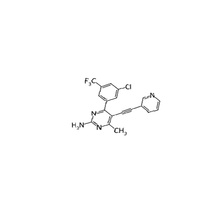 Cc1nc(N)nc(-c2cc(Cl)cc(C(F)(F)F)c2)c1C#Cc1cccnc1